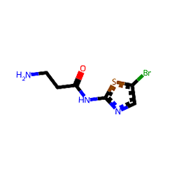 NCCC(=O)Nc1ncc(Br)s1